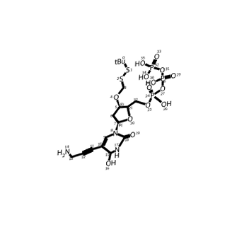 CC(C)(C)SSCO[C@@H]1C[C@H](N2C=C(C#CCN)C(O)NC2=O)OC1COP(=O)(O)OP(=O)(O)OP(=O)(O)O